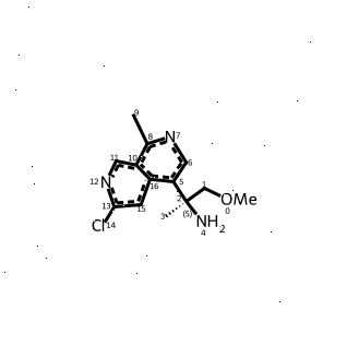 COC[C@@](C)(N)c1cnc(C)c2cnc(Cl)cc12